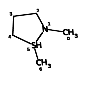 CN1CCC[SH]1C